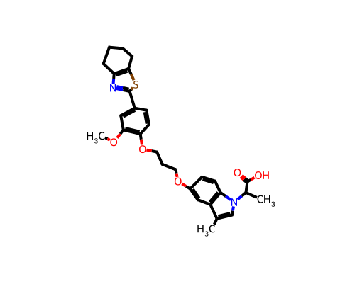 COc1cc(-c2nc3c(s2)CCCC3)ccc1OCCCOc1ccc2c(c1)c(C)cn2C(C)C(=O)O